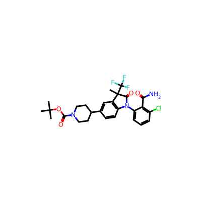 CC(C)(C)OC(=O)N1CCC(c2ccc3c(c2)C(C)(C(F)(F)F)C(=O)N3c2cccc(Cl)c2C(N)=O)CC1